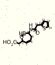 O=C(O)CC1C=CCC(NC(=O)Cc2cccs2)BO1